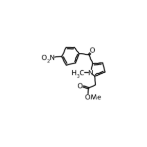 COC(=O)Cc1ccc(C(=O)c2ccc([N+](=O)[O-])cc2)n1C